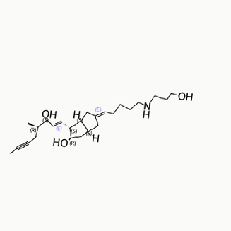 CC#CC[C@@H](C)[C@H](O)/C=C/[C@@H]1[C@H]2C/C(=C/CCCCNCCCO)C[C@H]2C[C@H]1O